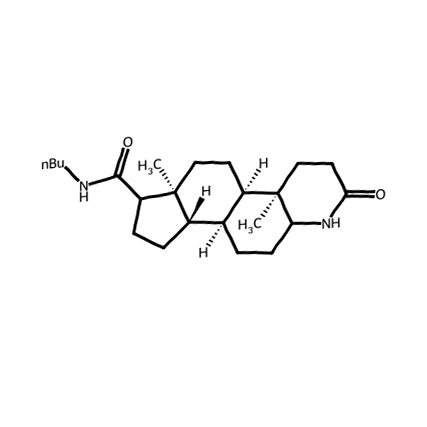 CCCCNC(=O)C1CC[C@H]2[C@@H]3CCC4NC(=O)CC[C@]4(C)[C@@H]3CC[C@]12C